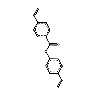 C=Cc1ccc(OC(=O)c2ccc(C=C)cc2)cc1